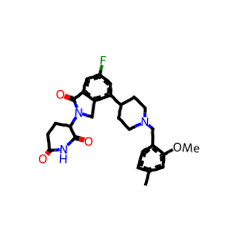 COc1cc(C)ccc1CN1CCC(c2cc(F)cc3c2CN(C2CCC(=O)NC2=O)C3=O)CC1